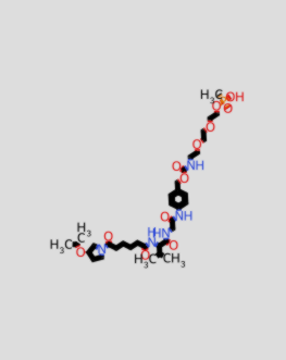 CC(C)O[C@H]1CCN(C(=O)CCCCC(=O)NC(C(=O)NCC(=O)Nc2ccc(COC(=O)NCCOCCOCCOP(C)(=O)O)cc2)C(C)C)C1